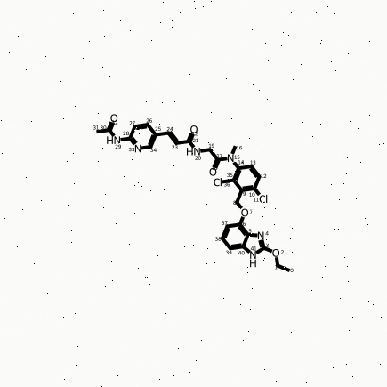 CCOc1nc2c(OCc3c(Cl)ccc(N(C)C(=O)CNC(=O)/C=C/c4ccc(NC(C)=O)nc4)c3Cl)cccc2[nH]1